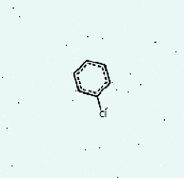 Clc1[c][c]cc[c]1